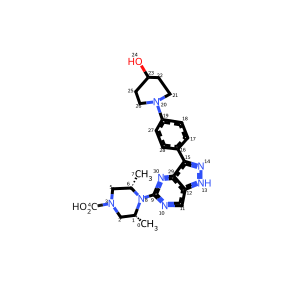 C[C@@H]1CN(C(=O)O)C[C@H](C)N1c1ncc2[nH]nc(-c3ccc(N4CCC(O)CC4)cc3)c2n1